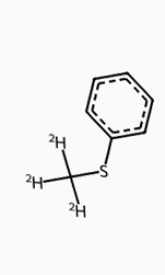 [2H]C([2H])([2H])Sc1ccccc1